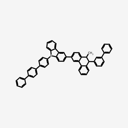 CC1c2ccc(-c3ccc4c(c3)c3ccccc3n4-c3ccc(-c4ccc(-c5ccccc5)cc4)cc3)cc2-c2ccccc2C1c1cccc(-c2ccccc2)c1